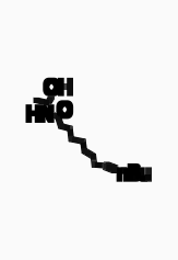 CCCCC#CCCCCCCCC(=O)NC(C)CO